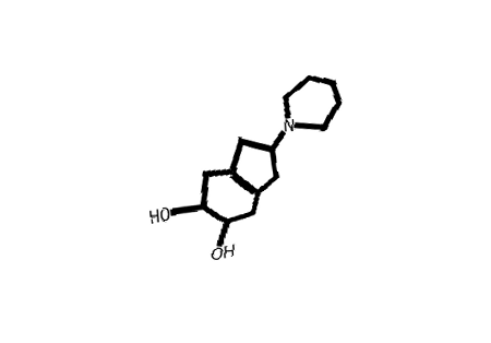 OC1CC2=C(CC1O)CC(N1CCCCC1)C2